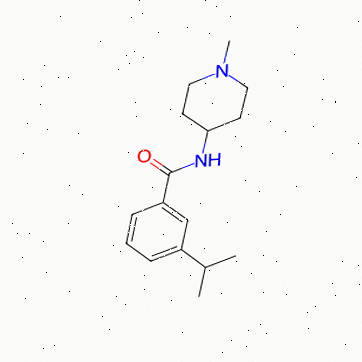 CC(C)c1cccc(C(=O)NC2CCN(C)CC2)c1